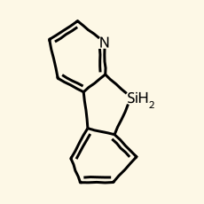 c1ccc2c(c1)[SiH2]c1ncccc1-2